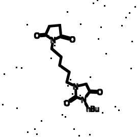 CCCCN1C(=O)CN(CCCCCN2C(=O)CCC2=O)C1=O